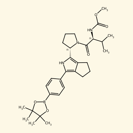 COC(=O)N[C@H](C(=O)N1CCC[C@H]1c1[nH]c(-c2ccc(B3OC(C)(C)C(C)(C)O3)cc2)c2c1CCC2)C(C)C